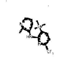 Cc1ncccc1Nc1nc(C(F)(F)F)cc[c]1[Sn]([CH3])([CH3])[CH3]